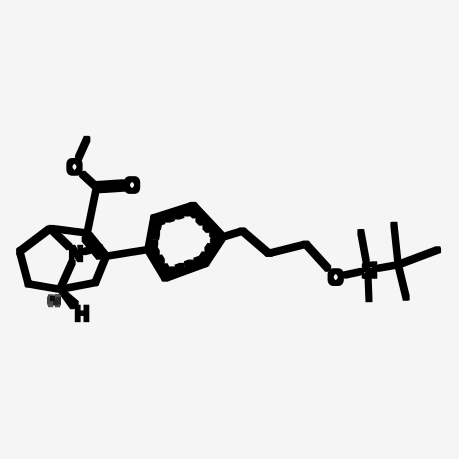 COC(=O)C1=C(c2ccc(CCCO[Si](C)(C)C(C)(C)C)cc2)C[C@@H]2CCC1N2C